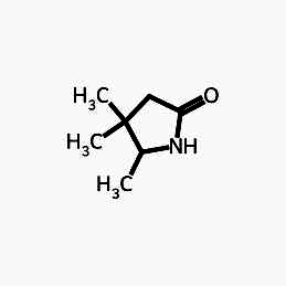 CC1NC(=O)CC1(C)C